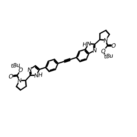 CC(C)(C)OC(=O)N1CCCC1c1ncc(-c2ccc(C#Cc3ccc4nc(C5CCCN5C(=O)OC(C)(C)C)[nH]c4c3)cc2)[nH]1